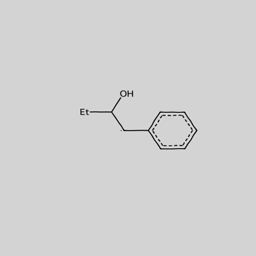 CCC(O)[CH]c1ccccc1